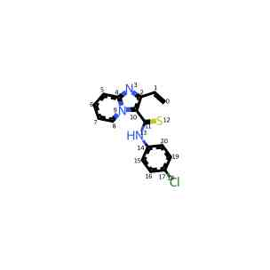 C=Cc1nc2ccccn2c1C(=S)Nc1ccc(Cl)cc1